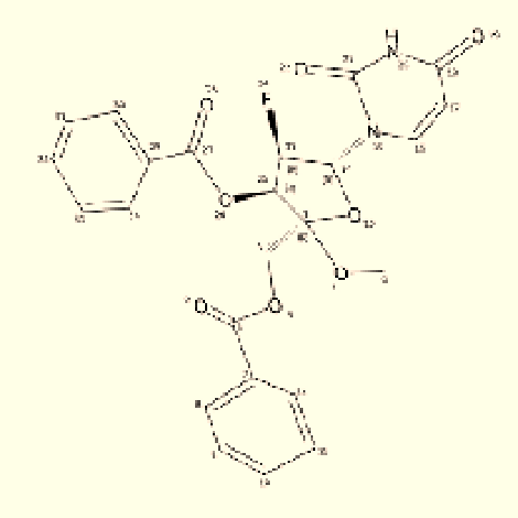 CO[C@]1(COC(=O)c2ccccc2)O[C@@H](n2ccc(=O)[nH]c2=O)[C@H](F)[C@@H]1OC(=O)c1ccccc1